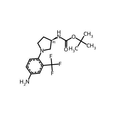 CC(C)(C)OC(=O)N[C@@H]1CCN(c2ccc(N)cc2C(F)(F)F)C1